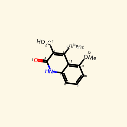 CCCCCc1c(C(=O)O)c(=O)[nH]c2cccc(OC)c12